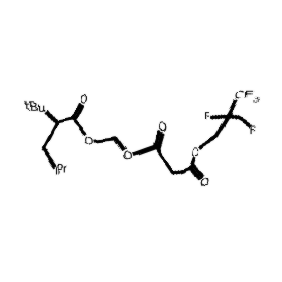 CC(C)CC(C(=O)OCOC(=O)CC(=O)OCC(F)(F)C(F)(F)F)C(C)(C)C